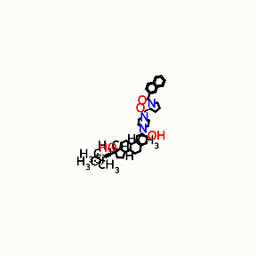 C[C@]12CC(N3CCN(C(=O)[C@@H]4CCCN4C(=O)c4ccc5ccccc5c4)CC3)C(O)CC1CC[C@@H]1[C@@H]2CC[C@@]2(C)[C@H]1CC[C@]2(O)C#C[Si](C)(C)C